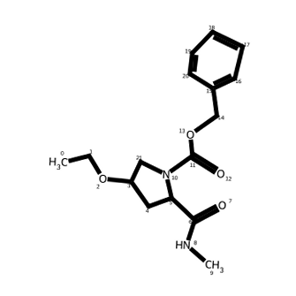 CCOC1CC(C(=O)NC)N(C(=O)OCc2ccccc2)C1